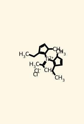 CCC1=[C]([Ti+2]([C]2=C(CC)C=CC2C)=[C](C)C)C(C)C=C1.[Cl-].[Cl-]